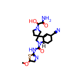 COC1CN=C(NC(=O)N2CC3(CCN(C(O)C(N)=O)C3)C3=CC(C#N)CC[C@@H]32)S1